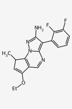 CCOC1=CC(C)c2c1cnc1c(-c3cccc(F)c3F)c(N)nn21